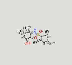 Cc1c(NS(=O)(=O)c2c(C(C)C)cc(C(C)C)cc2C(C)C)cc(O)cc1C(F)(F)F